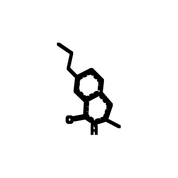 CCCc1ccc2cc(C)[nH]c(=O)c2c1